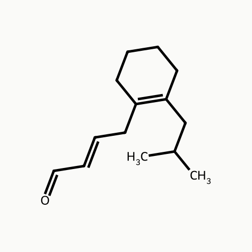 CC(C)CC1=C(CC=CC=O)CCCC1